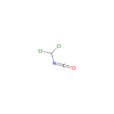 O=C=NC(Cl)Cl